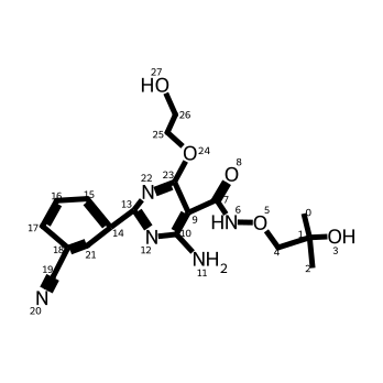 CC(C)(O)CONC(=O)c1c(N)nc(-c2cccc(C#N)c2)nc1OCCO